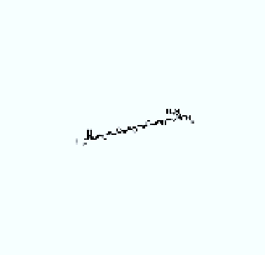 CNCCOCCOCCOCCOCCOCCN(C)N